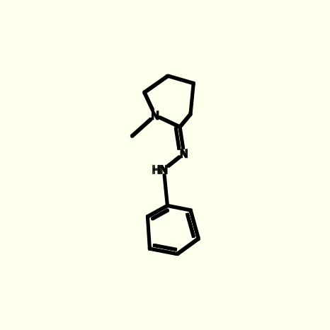 CN1CCCCC1=NNc1ccccc1